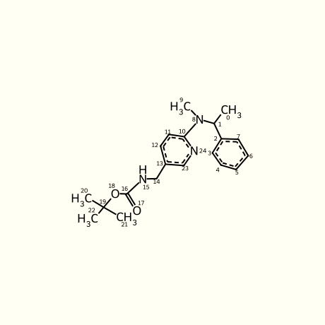 CC(c1ccccc1)N(C)c1ccc(CNC(=O)OC(C)(C)C)cn1